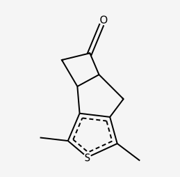 Cc1sc(C)c2c1CC1C(=O)CC21